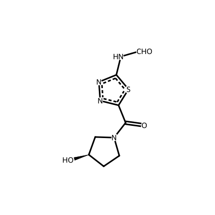 O=CNc1nnc(C(=O)N2CC[C@@H](O)C2)s1